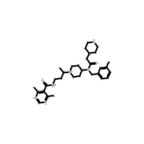 Cc1cccc(CN(C(=S)CC2CCOCC2)C2CCN(C(C)CCNC(=O)c3c(C)ncnc3C)CC2)c1